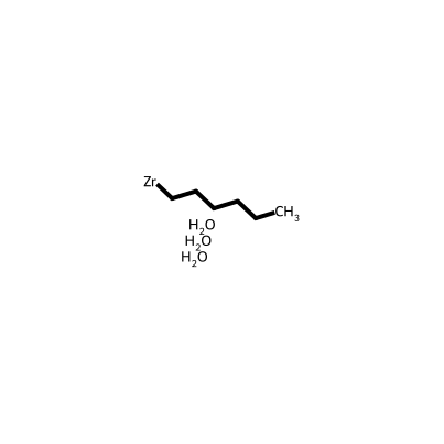 CCCCC[CH2][Zr].O.O.O